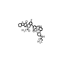 C=CC(=O)N[C@H]1CCCN(c2cccc(Nc3cc(-c4cc(F)cc(-n5ncc6c7c(sc6c5=O)CCCC7)c4COC(C)=O)cn(C)c3=O)n2)C1